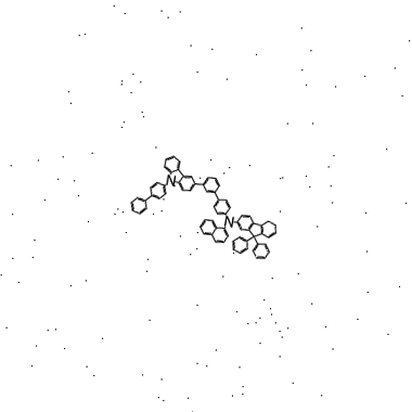 C1=CC2=C(CC1)c1ccc(N(c3ccc(-c4cccc(-c5ccc6c(c5)c5ccccc5n6-c5ccc(-c6ccccc6)cc5)c4)cc3)c3cccc4ccccc34)cc1C2(c1ccccc1)c1ccccc1